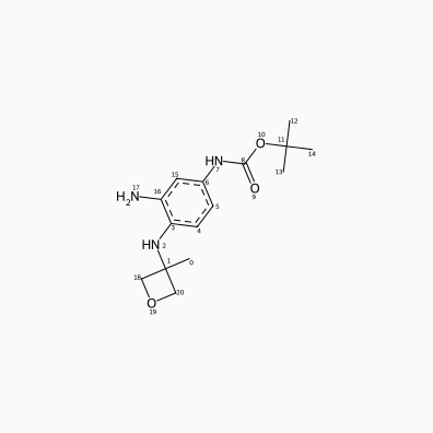 CC1(Nc2ccc(NC(=O)OC(C)(C)C)cc2N)COC1